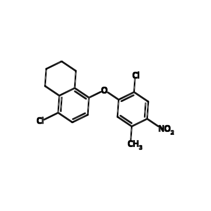 Cc1cc(Oc2ccc(Cl)c3c2CCCC3)c(Cl)cc1[N+](=O)[O-]